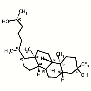 C[C@H](CCC[C@@H](C)O)[C@H]1CC[C@H]2[C@@H]3CC[C@H]4C[C@](O)(C(F)(F)F)CC[C@]4(C)[C@H]3CC[C@]12C